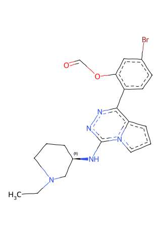 CCN1CCC[C@@H](Nc2nnc(-c3ccc(Br)cc3OC=O)c3cccn23)C1